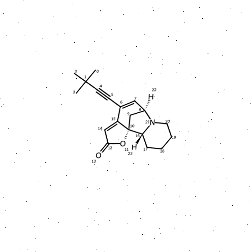 CC(C)(C)C#CC1=C[C@@H]2C[C@@]3(OC(=O)C=C13)[C@H]1CCCCN21